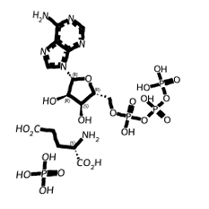 N[C@@H](CCC(=O)O)C(=O)O.Nc1ncnc2c1ncn2[C@@H]1O[C@H](COP(=O)(O)OP(=O)(O)OP(=O)(O)O)[C@@H](O)[C@H]1O.O=P(O)(O)O